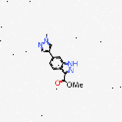 COC(=O)c1n[nH]c2cc(-c3cnn(C)c3)ccc12